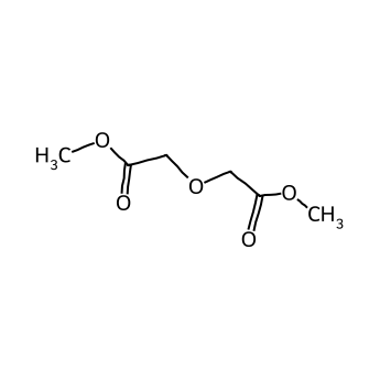 COC(=O)COCC(=O)OC